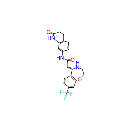 O=C(/C=C1\NCCOc2cc(C(F)(F)F)ccc21)Nc1ccc2c(c1)NC(=O)CC2